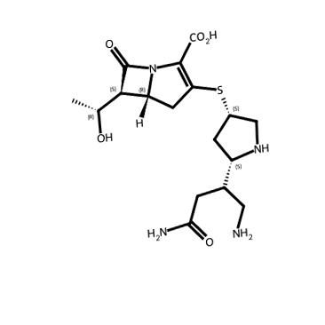 C[C@@H](O)[C@H]1C(=O)N2C(C(=O)O)=C(S[C@@H]3CN[C@H](C(CN)CC(N)=O)C3)C[C@H]12